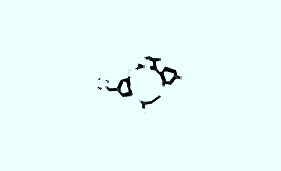 CCCC1CCOc2cc(F)ccc2-c2nc(ncc2F)Nc2cc(CS(C)(=O)=NC(C)C)cc(c2)O1